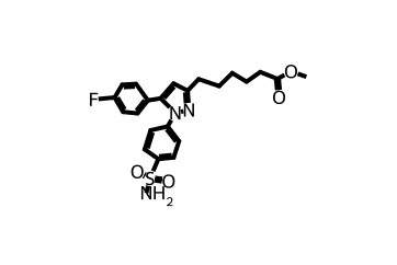 COC(=O)CCCCCc1cc(-c2ccc(F)cc2)n(-c2ccc(S(N)(=O)=O)cc2)n1